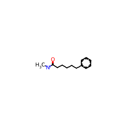 C[N]C(=O)CCCCCc1ccccc1